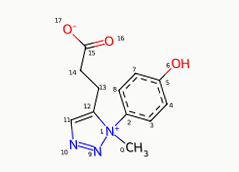 C[N+]1(c2ccc(O)cc2)N=NC=C1CCC(=O)[O-]